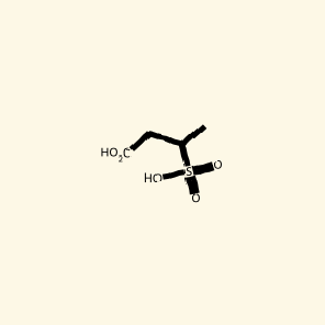 C[C](CC(=O)O)S(=O)(=O)O